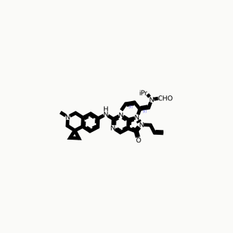 C=CCn1c(=O)c2cnc(Nc3ccc4c(c3)CN(C)CC43CC3)nc2n1C(/C=C\C)=C/N(C=O)C(C)C